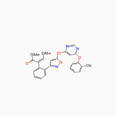 COC=C(C(=O)OC)c1ccccc1-c1cc(Oc2cc(Oc3ccccc3C#N)ncn2)on1